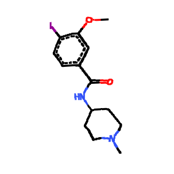 COc1cc(C(=O)NC2CCN(C)CC2)ccc1I